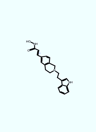 O=C(/C=C/c1ccc2c(c1)CCN(CCc1c[nH]c3ccccc13)C2)NO